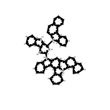 c1ccc2c(c1)ccc1c2c2ccccc2n1-c1nc(-n2c3ccccc3c3c4c5ccccc5n5c6c7ccccc7ccc6c(cc32)c45)nc2c1sc1ccccc12